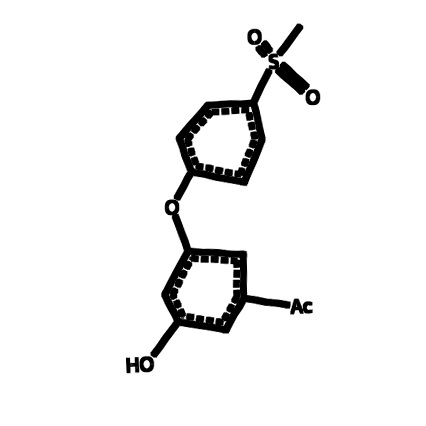 CC(=O)c1cc(O)cc(Oc2ccc(S(C)(=O)=O)cc2)c1